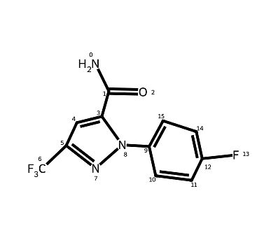 NC(=O)c1cc(C(F)(F)F)nn1-c1ccc(F)cc1